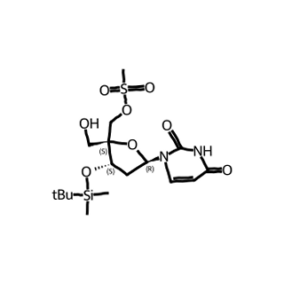 CC(C)(C)[Si](C)(C)O[C@H]1C[C@H](n2ccc(=O)[nH]c2=O)O[C@@]1(CO)COS(C)(=O)=O